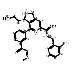 C=C(/C=N\C)c1cccc(-c2nc(C(=O)NCc3ccccc3F)cc3c2[C@@H](CCO)NC3)c1